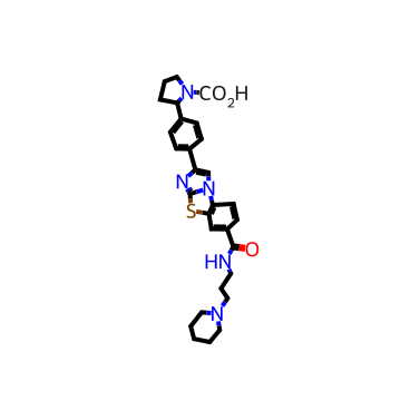 O=C(NCCCN1CCCCC1)c1ccc2c(c1)sc1nc(-c3ccc(C4CCCN4C(=O)O)cc3)cn12